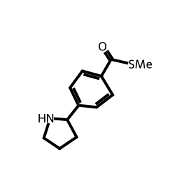 CSC(=O)c1ccc(C2CCCN2)cc1